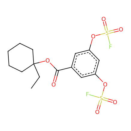 CCC1(OC(=O)c2cc(OS(=O)(=O)F)cc(OS(=O)(=O)F)c2)CCCCC1